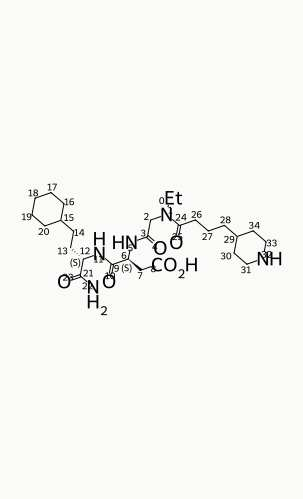 CCN(CC(=O)N[C@@H](CC(=O)O)C(=O)N[C@@H](CCC1CCCCC1)C(N)=O)C(=O)CCCC1CCNCC1